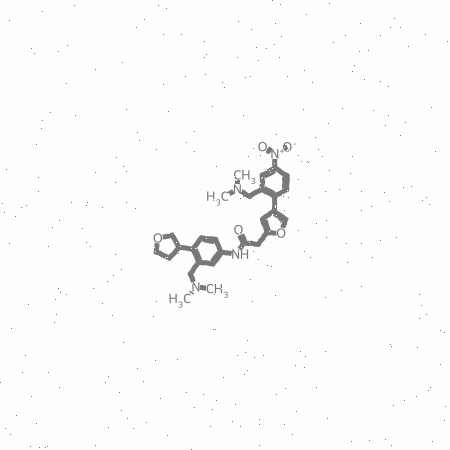 CN(C)Cc1cc([N+](=O)[O-])ccc1-c1coc(CC(=O)Nc2ccc(C3CCOC3)c(CN(C)C)c2)c1